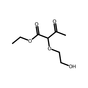 CCOC(=O)C(OCCO)C(C)=O